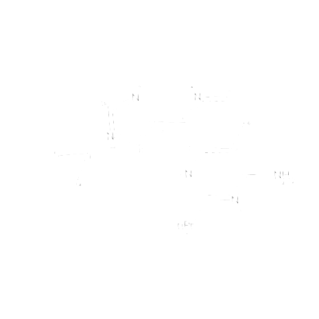 CCCc1nc(N)c2ccnc(-c3cn(C4CC4)cn3)c2n1